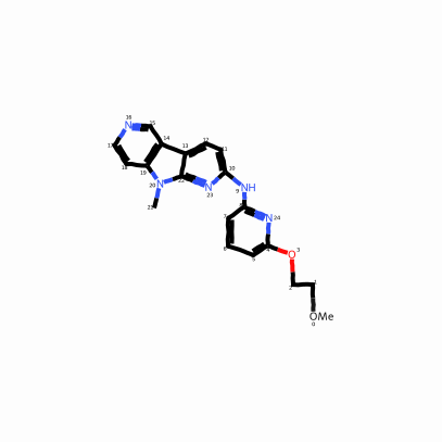 COCCOc1cccc(Nc2ccc3c4cnccc4n(C)c3n2)n1